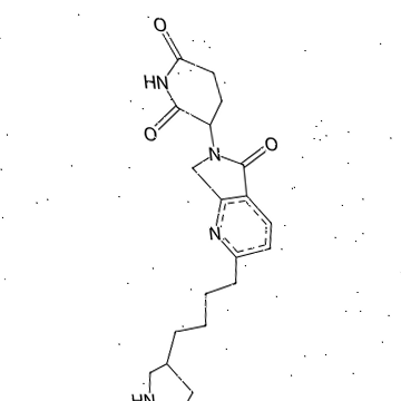 O=C1CCC(N2Cc3nc(CCCCC4CCNC4)ccc3C2=O)C(=O)N1